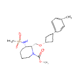 COC(=O)N1CCC[C@H](NS(C)(=O)=O)[C@@H]1CO[C@H]1C[C@@H](c2ccc(C)cc2)C1